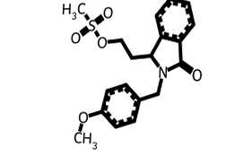 COc1ccc(CN2C(=O)c3ccccc3C2CCOS(C)(=O)=O)cc1